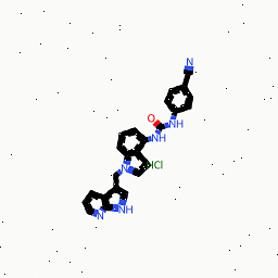 Cl.N#Cc1ccc(NC(=O)Nc2cccc3c2ccn3Cc2c[nH]c3ncccc23)cc1